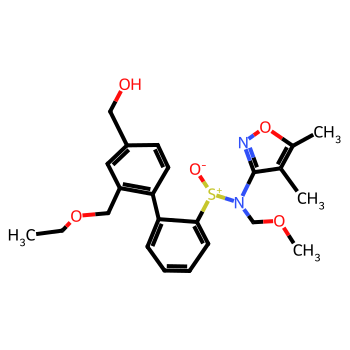 CCOCc1cc(CO)ccc1-c1ccccc1[S+]([O-])N(COC)c1noc(C)c1C